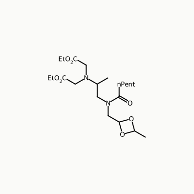 CCCCCC(=O)N(CC1OC(C)O1)CC(C)N(CC(=O)OCC)CC(=O)OCC